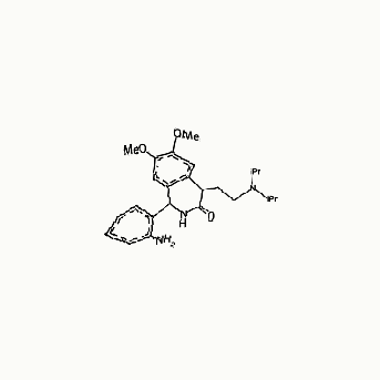 COc1cc2c(cc1OC)C(c1ccccc1N)NC(=O)C2CCN(C(C)C)C(C)C